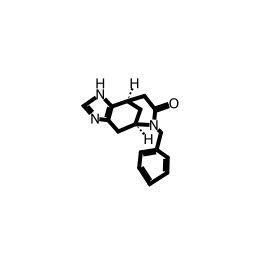 O=C1C[C@H]2C[C@H](Cc3nc[nH]c32)N1Cc1ccccc1